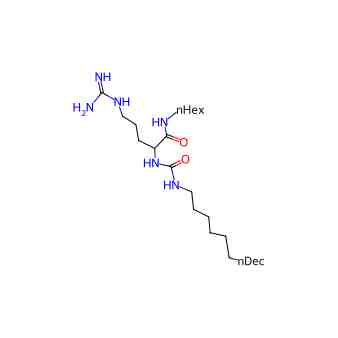 CCCCCCCCCCCCCCCCNC(=O)NC(CCCNC(=N)N)C(=O)NCCCCCC